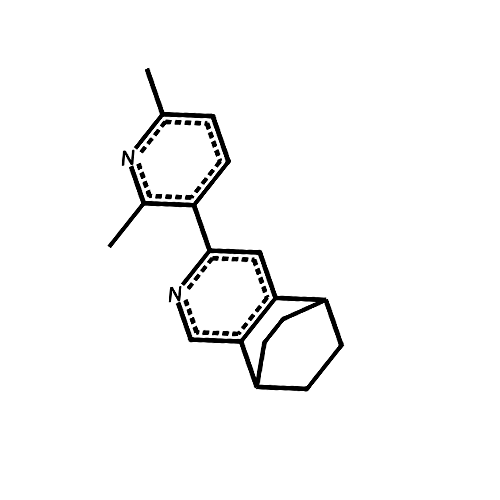 Cc1ccc(-c2cc3c(cn2)C2CCC3CC2)c(C)n1